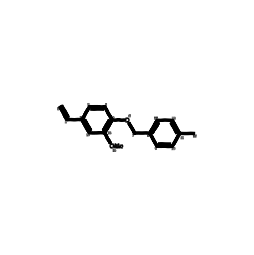 C=Cc1ccc(OCc2ccc(C)cc2)c(OC)c1